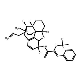 C=CC[N+]1(C)CC[C@]23C4=C5C=CC(O)(NC(=O)C(=Cc6ccccc6)OC(F)(F)F)C4O[C@H]2CCC[C@H]3[C@H]1C5